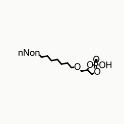 CCCCCCCCCCCCCCCCOCC1COP(=O)(O)O1